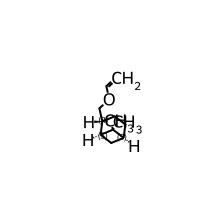 C=COC[C@@H]1CC[C@H]2C[C@@H]1C2(C)C